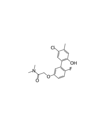 Cc1cc(O)c(-c2cc(OCC(=O)N(C)C)ccc2F)cc1Cl